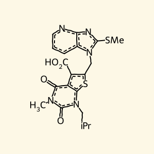 CSc1nc2ncccc2n1Cc1sc2c(c1C(=O)O)c(=O)n(C)c(=O)n2CC(C)C